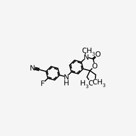 CCC1(CC)OC(=O)N(C)c2ccc(Nc3ccc(C#N)c(F)c3)cc21